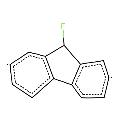 FC1c2c[c]ccc2-c2cc[c]cc21